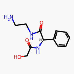 NCCNC(=O)[C@H](NC(=O)CO)c1ccccc1